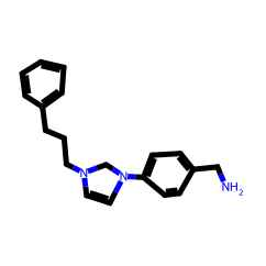 NCc1ccc(N2C=CN(CCCc3ccccc3)C2)cc1